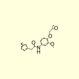 COc1cc(NC(=O)Cc2ccsc2)ccc1OCC1CO1